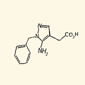 Nc1c(CC(=O)O)cnn1Cc1ccccc1